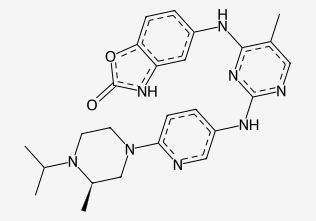 Cc1cnc(Nc2ccc(N3CCN(C(C)C)[C@H](C)C3)nc2)nc1Nc1ccc2oc(=O)[nH]c2c1